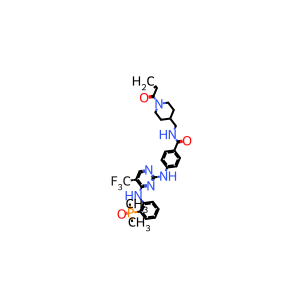 C=CC(=O)N1CCC(CNC(=O)c2ccc(Nc3ncc(C(F)(F)F)c(Nc4ccccc4P(C)(C)=O)n3)cc2)CC1